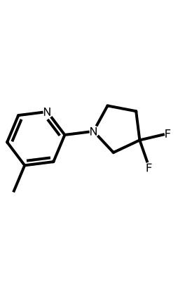 Cc1ccnc(N2CCC(F)(F)C2)c1